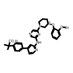 CCOc1ccccc1O[C@@H]1CCCN(c2cncc(Nc3cc(-c4ccc(C(C)(C)C(=O)O)cc4)ccn3)n2)C1